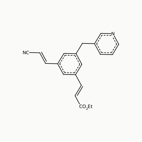 CCOC(=O)C=Cc1cc(C=CC#N)cc(Cc2cccnc2)c1